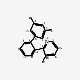 Cc1cc(C)cc(-c2ccccc2-c2ncccc2C)c1